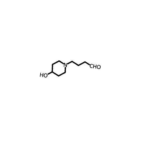 O=CCCCN1CCC(O)CC1